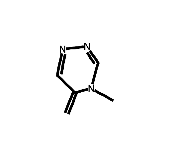 C=C1C=NN=CN1C